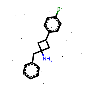 NC1(Cc2ccccc2)CC(c2ccc(Br)cc2)C1